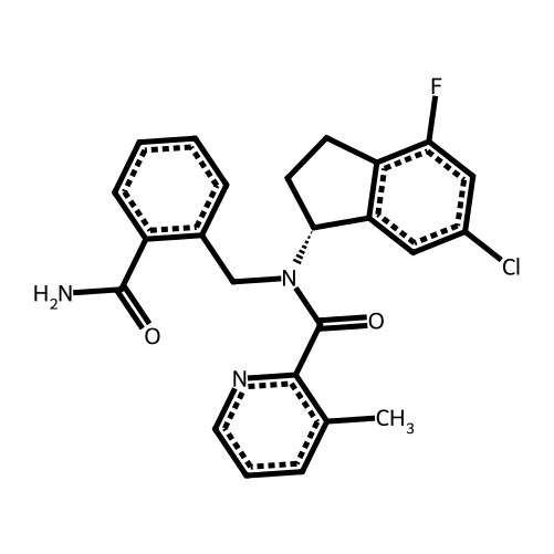 Cc1cccnc1C(=O)N(Cc1ccccc1C(N)=O)[C@@H]1CCc2c(F)cc(Cl)cc21